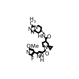 COc1cc(-c2cc(C(=O)N3CCC(C(=O)NC[C@H]4CCn5c(C)nnc5C4)CC34CC4)[nH]n2)c(F)cn1